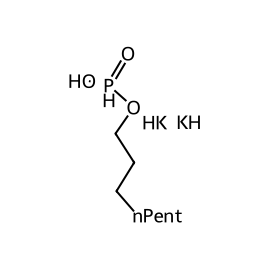 CCCCCCCCO[PH](=O)O.[KH].[KH]